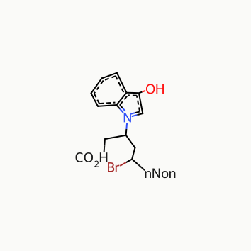 CCCCCCCCCC(Br)CC(CC(=O)O)n1cc(O)c2ccccc21